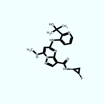 CNc1cc(Nc2cccnc2C(C)(C)O)nc2c(C(=O)N[C@H]3C[C@H]3F)cnn12